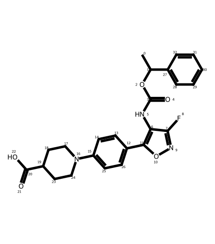 CC(OC(=O)Nc1c(F)noc1-c1ccc(N2CCC(C(=O)O)CC2)cc1)c1ccccc1